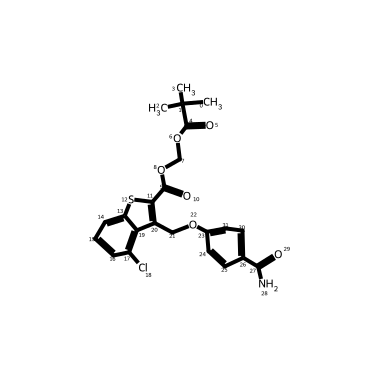 CC(C)(C)C(=O)OCOC(=O)c1sc2cccc(Cl)c2c1COc1ccc(C(N)=O)cc1